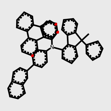 CC1(c2ccccc2)c2ccccc2-c2c(N(c3ccc(-c4ccc5ccccc5c4)cc3)c3ccccc3-c3ccccc3-c3ccccc3-c3ccccc3)cccc21